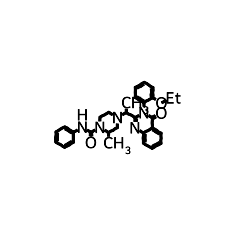 CCOc1ccccc1-n1c(C(C)N2CCN(C(=O)Nc3ccccc3)C(C)C2)nc2ccccc2c1=O